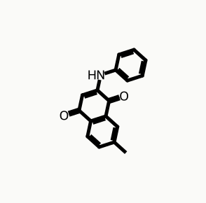 Cc1ccc2c(c1)C(=O)C(Nc1ccccc1)=CC2=O